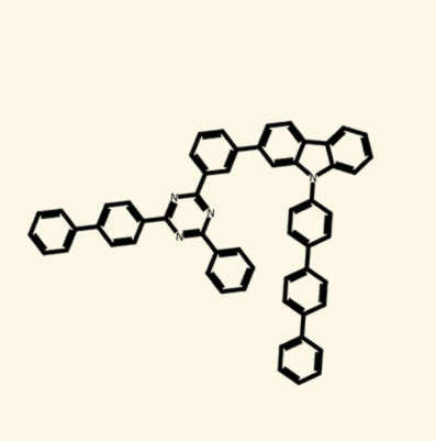 c1ccc(-c2ccc(-c3ccc(-n4c5ccccc5c5ccc(-c6cccc(-c7nc(-c8ccccc8)nc(-c8ccc(-c9ccccc9)cc8)n7)c6)cc54)cc3)cc2)cc1